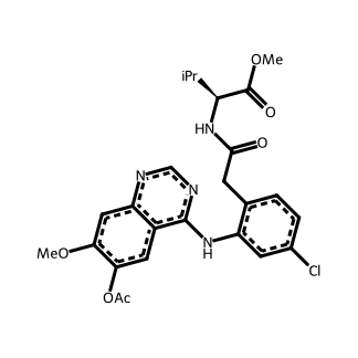 COC(=O)[C@@H](NC(=O)Cc1ccc(Cl)cc1Nc1ncnc2cc(OC)c(OC(C)=O)cc12)C(C)C